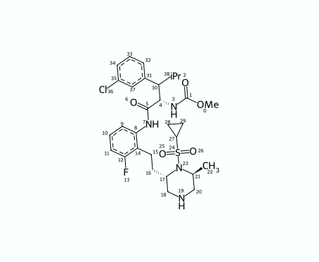 COC(=O)N[C@H](C(=O)Nc1cccc(F)c1CC[C@H]1CNC[C@H](C)N1S(=O)(=O)C1CC1)C(c1cccc(Cl)c1)C(C)C